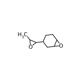 CC1OC1C1CCC2OC2C1